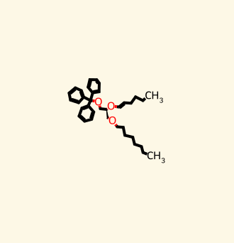 CCCCC=CO[C@@H](COCCCCCCCC)COC(c1ccccc1)(c1ccccc1)c1ccccc1